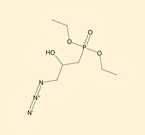 CCOP(=O)(CC(O)CN=[N+]=[N-])OCC